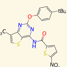 Cc1csc2c(NC(=O)c3ccc([N+](=O)[O-])s3)nc(Oc3ccc(C(C)(C)C)cc3)nc12